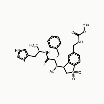 CC(=O)N(C1CS(=O)(=O)c2ccc(CNC(=O)OC(C)(C)C)cc21)[C@@H](Cc1ccccc1)C(=O)N[C@@H](Cc1c[nH]cn1)C(=O)O